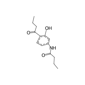 CCCC(=O)Nc1ccc(C(=O)CCC)c(O)c1